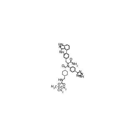 CC(C)(C)OC(=O)NC[C@H]1CC[C@H](C(=O)N(c2ccc(-c3nn[nH]n3)cc2)[C@@H](Cc2ccc(-c3cccc4[nH]nc(N)c34)cc2)C(N)=O)CC1